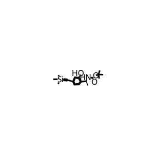 C[C@H](NC(=O)OC(C)(C)C)c1ccc(C#C[Si](C)(C)C)cc1O